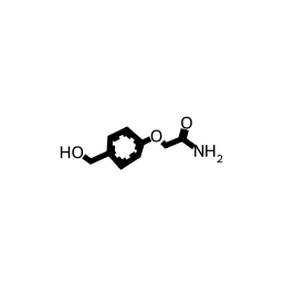 NC(=O)COc1ccc(CO)cc1